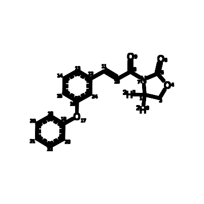 [2H]C1([2H])COC(=O)N1C(=O)C=Cc1cccc(Oc2ccccc2)c1